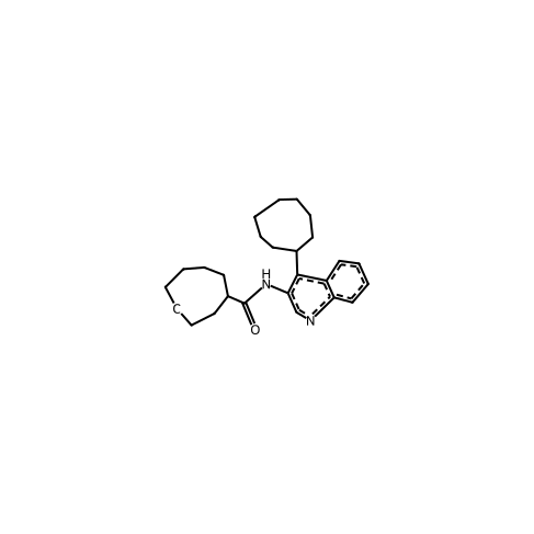 O=C(Nc1cnc2ccccc2c1C1CCCCCCC1)C1CCCCCCC1